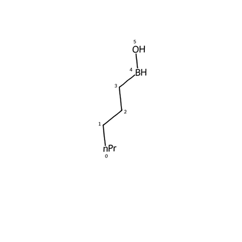 CCCCCCBO